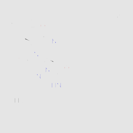 C#CCN1CC(=O)N2[C@@H](CC(C)C)C(=O)N(CCc3ccc(OC)cc3)C[C@@H]2N1C(=O)NCc1ccccc1